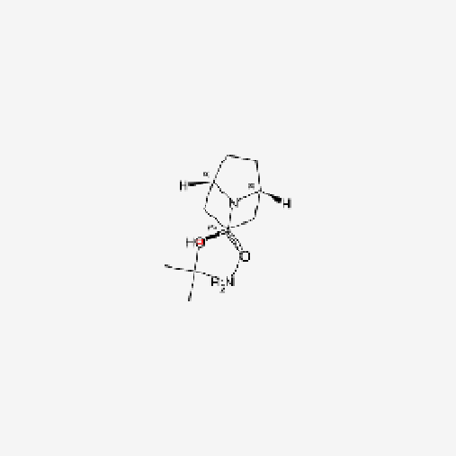 CC(C)(C)OC(=O)N1[C@@H]2CC[C@H]1C[C@@](O)(CN)C2